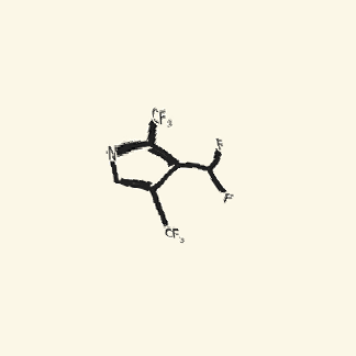 FC(F)C1=C(C(F)(F)F)[N][C]=C1C(F)(F)F